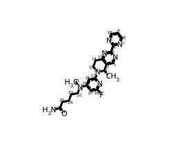 CC1c2cnc(-c3ncccn3)nc2CCN1c1cc(N(C)CCCCC(N)=O)cc(F)n1